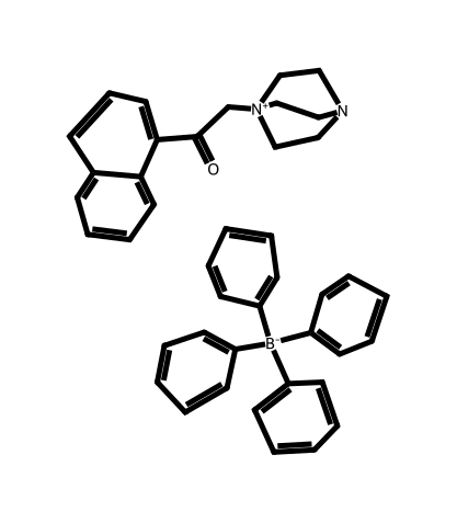 O=C(C[N+]12CCN(CC1)CC2)c1cccc2ccccc12.c1ccc([B-](c2ccccc2)(c2ccccc2)c2ccccc2)cc1